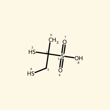 CC(S)(CS)S(=O)(=O)O